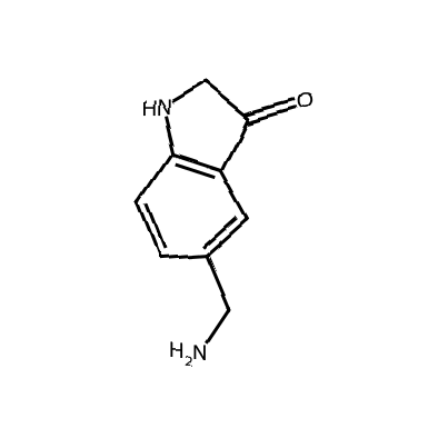 NCc1ccc2c(c1)C(=O)CN2